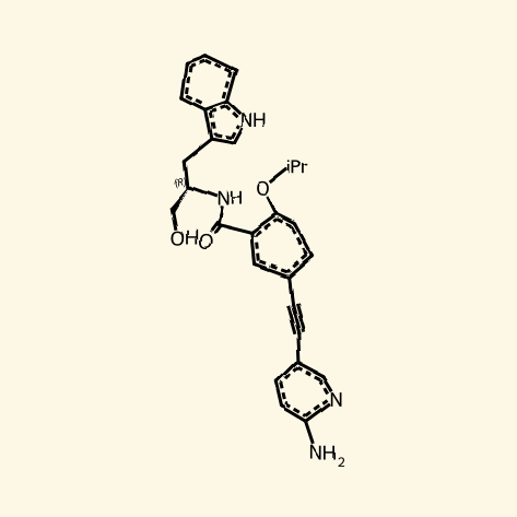 CC(C)Oc1ccc(C#Cc2ccc(N)nc2)cc1C(=O)N[C@@H](CO)Cc1c[nH]c2ccccc12